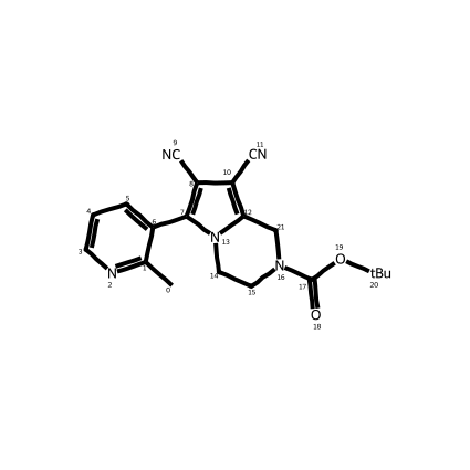 Cc1ncccc1-c1c(C#N)c(C#N)c2n1CCN(C(=O)OC(C)(C)C)C2